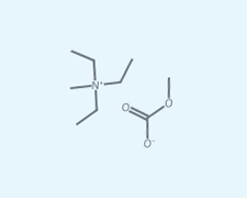 CC[N+](C)(CC)CC.COC(=O)[O-]